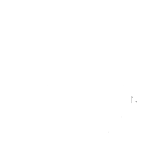 CC1=NC2CC2(C)C1c1cc(C)cc(F)c1